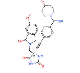 COc1ccc2c(c1)C(=O)N(C[C@@]1(C#Cc3ccc(C(=N)N4CCC(=O)CC4)cc3)NC(=O)NC1=O)C2